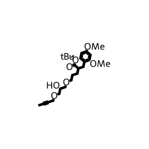 CC#CCOCC(O)COCCCC(Cc1ccc(OC)cc1OC)C(=O)OC(C)(C)C